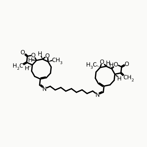 C=C1C(=O)O[C@H]2[C@H]1CCC(/C=N\CCCCCCCCC/N=C\C1=C\CC[C@@]3(C)O[C@H]3[C@H]3OC(=O)C(=C)[C@@H]3CC1)=C\CC[C@@]1(C)O[C@@H]21